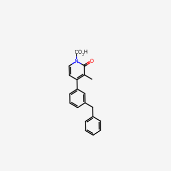 Cc1c(-c2cccc(Cc3ccccc3)c2)ccn(C(=O)O)c1=O